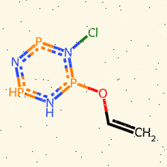 C=COp1[nH][pH]npn1Cl